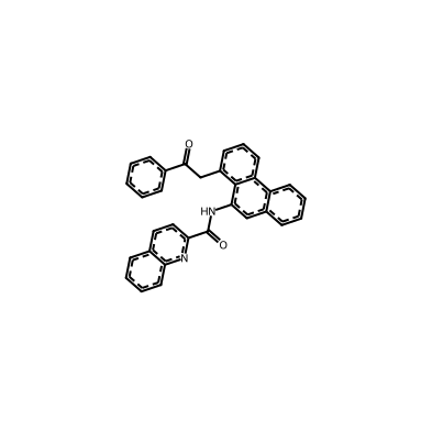 O=C(Cc1cccc2c1c(NC(=O)c1ccc3ccccc3n1)cc1ccccc12)c1ccccc1